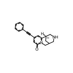 O=c1cc(C#Cc2ccccc2)cc2n1CC1CNC[C@@H]2C1